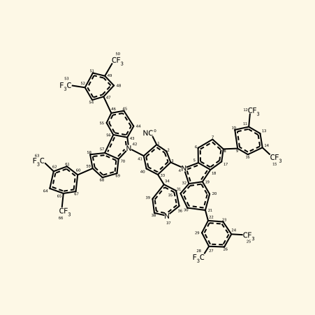 N#Cc1cc(-n2c3ccc(-c4cc(C(F)(F)F)cc(C(F)(F)F)c4)cc3c3cc(-c4cc(C(F)(F)F)cc(C(F)(F)F)c4)ccc32)c(-c2ccncc2)cc1-n1c2ccc(-c3cc(C(F)(F)F)cc(C(F)(F)F)c3)cc2c2cc(-c3cc(C(F)(F)F)cc(C(F)(F)F)c3)ccc21